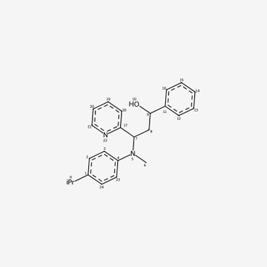 CC(C)c1ccc(N(C)C(CC(O)c2ccccc2)c2ccccn2)cc1